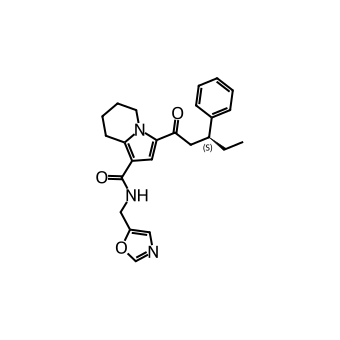 CC[C@@H](CC(=O)c1cc(C(=O)NCc2cnco2)c2n1CCCC2)c1ccccc1